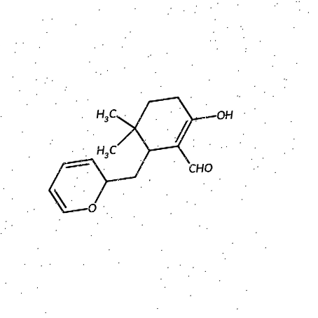 CC1(C)CCC(O)=C(C=O)C1CC1C=CC=CO1